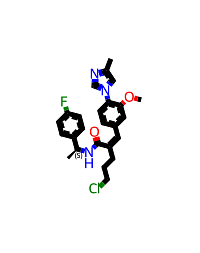 COc1cc(C=C(CCCCl)C(=O)N[C@@H](C)c2ccc(F)cc2)ccc1-n1cnc(C)c1